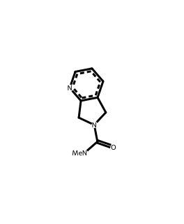 CNC(=O)N1Cc2cccnc2C1